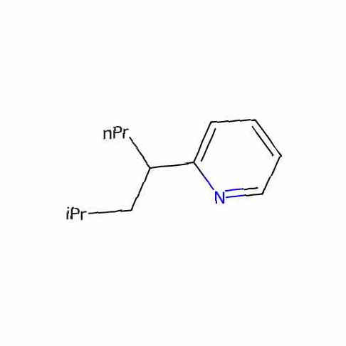 CCCC(CC(C)C)c1ccccn1